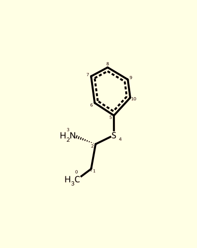 C[CH][C@H](N)Sc1ccccc1